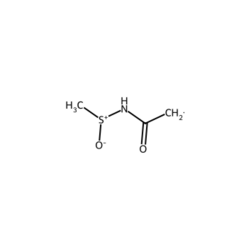 [CH2]C(=O)N[S+](C)[O-]